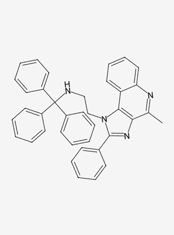 Cc1nc2ccccc2c2c1nc(-c1ccccc1)n2CCNC(c1ccccc1)(c1ccccc1)c1ccccc1